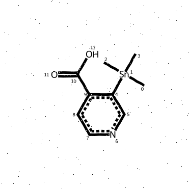 [CH3][Sn]([CH3])([CH3])[c]1cnccc1C(=O)O